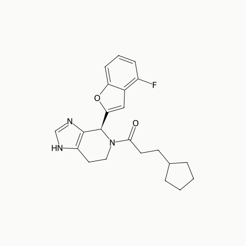 O=C(CCC1CCCC1)N1CCc2[nH]cnc2[C@H]1c1cc2c(F)cccc2o1